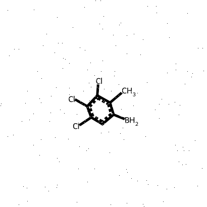 Bc1cc(Cl)c(Cl)c(Cl)c1C